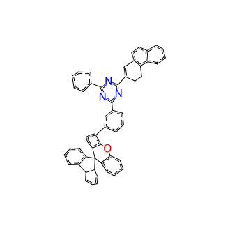 C1=CC2c3ccccc3C3(c4ccccc4Oc4c(-c5cccc(-c6nc(C7=Cc8ccc9ccccc9c8CC7)nc(-c7ccccc7)n6)c5)cccc43)C2C=C1